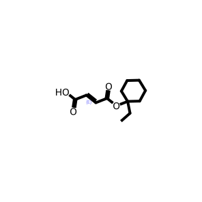 CCC1(OC(=O)/C=C/C(=O)O)CCCCC1